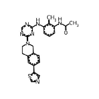 CC(=O)Nc1cccc(Nc2ncnc(N3CCc4cc(-c5cncs5)ccc4C3)n2)c1C